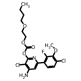 CCCCOCCOC(=O)Oc1nc(-c2ccc(Cl)c(OC)c2F)cc(N)c1Cl